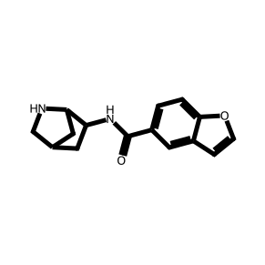 O=C(NC1CC2CNC1C2)c1ccc2occc2c1